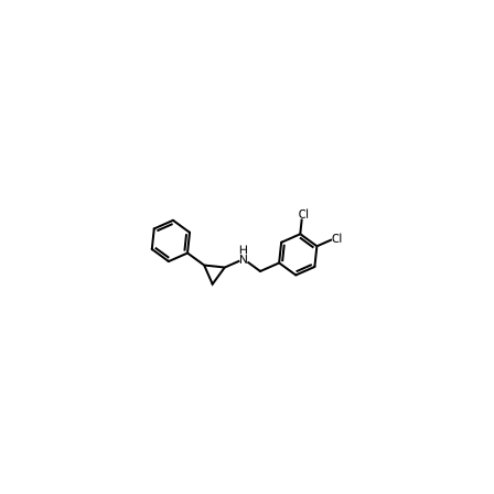 Clc1ccc(CNC2CC2c2ccccc2)cc1Cl